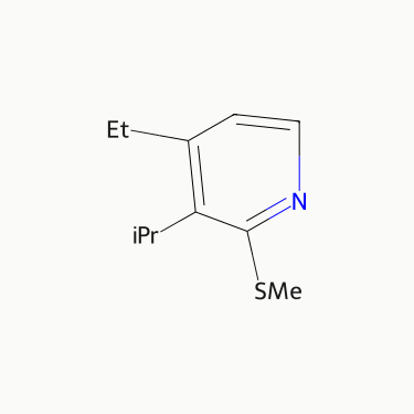 CCc1ccnc(SC)c1C(C)C